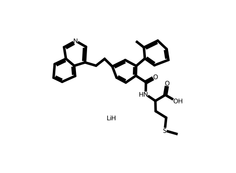 CSCCC(NC(=O)c1ccc(CCc2cncc3ccccc23)cc1-c1ccccc1C)C(=O)O.[LiH]